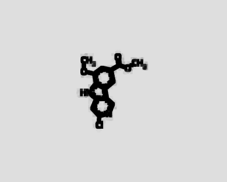 COC(=O)c1cc(OC)c2[nH]c3cc(Cl)ncc3c2c1